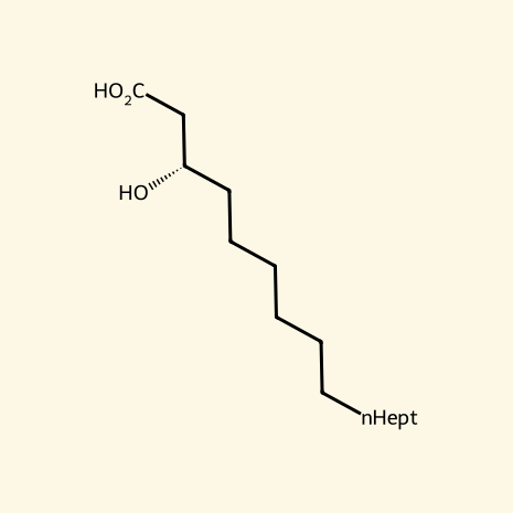 CCCCCCCCCCCCC[C@H](O)CC(=O)O